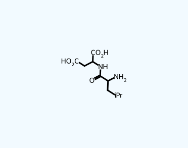 CC(C)CC(N)C(=O)NC(CC(=O)O)C(=O)O